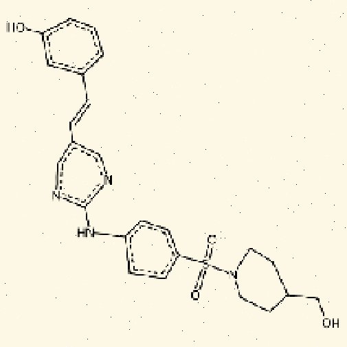 O=S(=O)(c1ccc(Nc2ncc(C=Cc3cccc(O)c3)cn2)cc1)N1CCC(CO)CC1